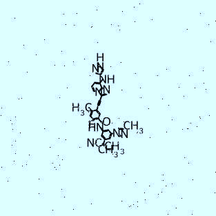 Cc1cn(-c2cc(NC(=O)c3cc(C#Cc4cnc5c(Nc6cn[nH]c6)cccn45)c(C)cc3F)cc(C(C)(C)C#N)c2)cn1